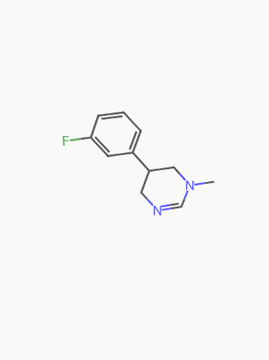 CN1C=NCC(c2cccc(F)c2)C1